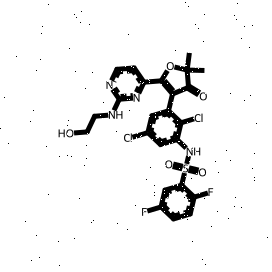 CC1(C)OC(c2ccnc(NCCO)n2)=C(c2cc(Cl)cc(NS(=O)(=O)c3cc(F)ccc3F)c2Cl)C1=O